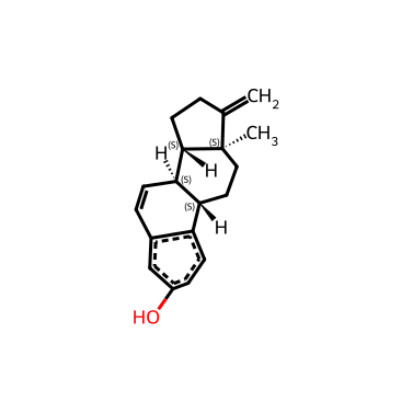 C=C1CC[C@H]2[C@@H]3C=Cc4cc(O)ccc4[C@H]3CC[C@]12C